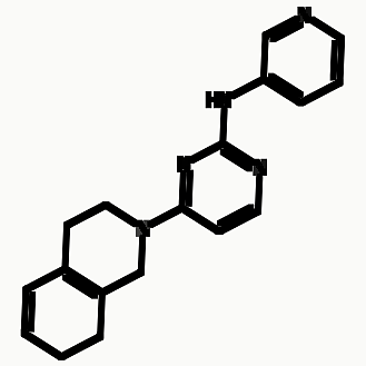 C1=CC2=C(CC1)CN(c1ccnc(Nc3cccnc3)n1)CC2